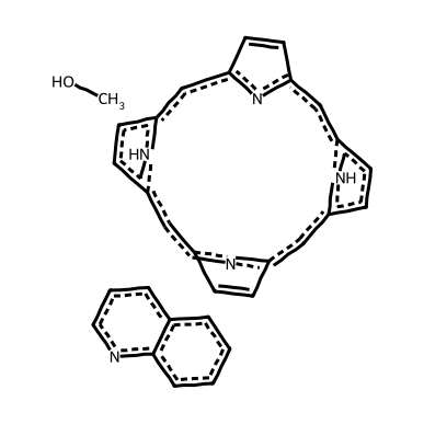 C1=Cc2cc3ccc(cc4nc(cc5ccc(cc1n2)[nH]5)C=C4)[nH]3.CO.c1ccc2ncccc2c1